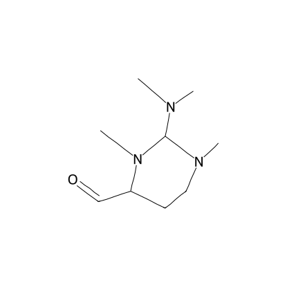 CN(C)C1N(C)CCC(C=O)N1C